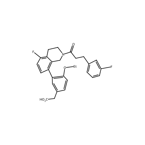 CCOc1ccc(CC(=O)O)cc1-c1ccc(F)c2c1CN(C(=O)CCc1cccc(F)c1)CC2